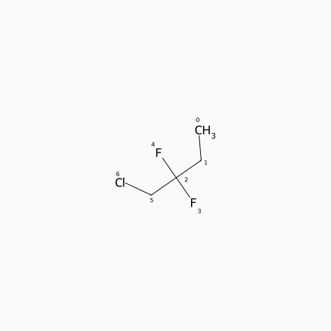 CCC(F)(F)CCl